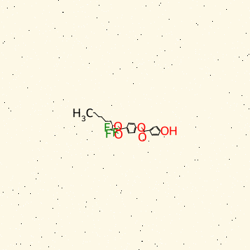 CCCCCC[C@@H](OC(=O)c1ccc(OC(=O)c2ccc(O)cc2)cc1)C(F)(F)F